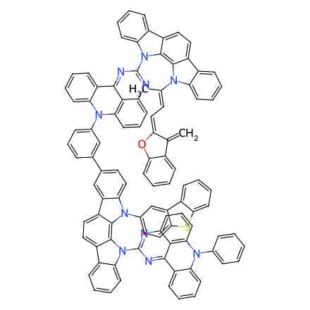 C=c1/c(=C\C=C(/C)n2c3ccccc3c3ccc4c5ccccc5n(-c5nc6c7c(cccc7n5)N(c5cccc(-c7ccc8c(c7)c7ccc9c%10ccccc%10n(-c%10nc%11c%12c(cccc%12n%10)N(c%10ccccc%10)c%10ccccc%10-%11)c9c7n8-c7ccc8sc9ccccc9c8c7)c5)c5ccccc5-6)c4c32)oc2ccccc12